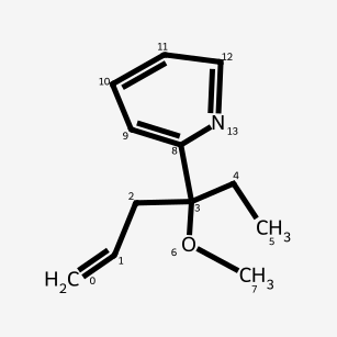 C=CCC(CC)(OC)c1ccccn1